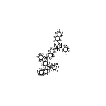 c1ccc(-c2nc(-c3ccc4ccccc4c3)nc(-c3ccc4cc(-n5c6ccccc6c6cc7c8c9ccccc9ccc8n(-c8ccccn8)c7cc65)ccc4c3)n2)cc1